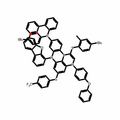 Cc1cc(C(C)(C)C)ccc1SC1=CN(c2ccc(Oc3ccccc3)cc2)c2cc(Sc3ccc(C(F)(F)F)cc3)cc3c2B1c1ccc(N(c2ccc(C(C)(C)C)cc2)c2ccccc2-c2ccccc2)cc1N3c1cccc2c1oc1ccccc12